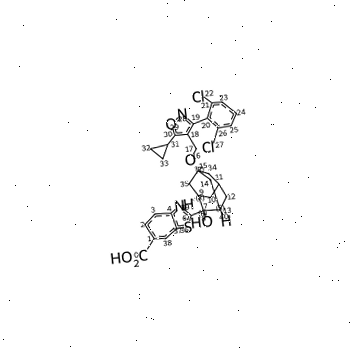 O=C(O)c1ccc2nc([C@]3(O)[C@@H]4CC5C[C@H]3C[C@](OCc3c(-c6c(Cl)cccc6Cl)noc3C3CC3)(C5)C4)sc2c1